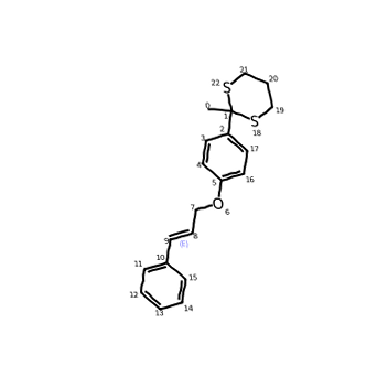 CC1(c2ccc(OC/C=C/c3ccccc3)cc2)SCCCS1